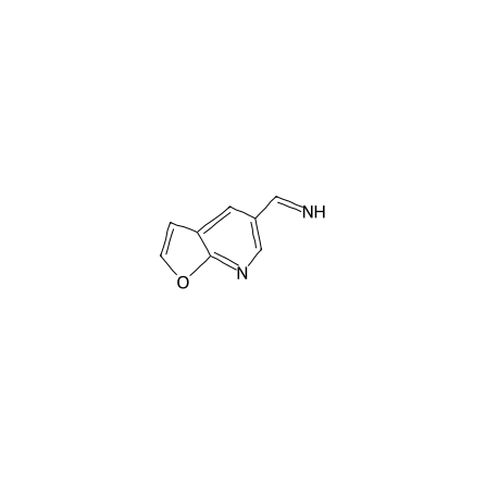 N=Cc1cnc2occc2c1